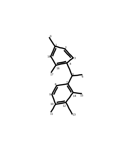 Cc1ccc(C(C)c2ccc(C)c(C)c2C)c(C)c1